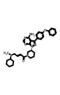 CN(C/C=C/C(=O)N1CCC[C@@H](n2nc(-c3ccc(Oc4ccccc4)cc3)c3c(N)ncnc32)C1)C1CCCCC1